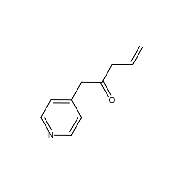 C=CCC(=O)Cc1ccncc1